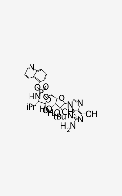 CC(C)[C@H](NP(=O)(OC[C@H]1OC(n2cnc3c(O)nc(N)nc32)[C@](C)(O)[C@@H]1O)Oc1cccc2ncccc12)C(=O)OCC(C)(C)C